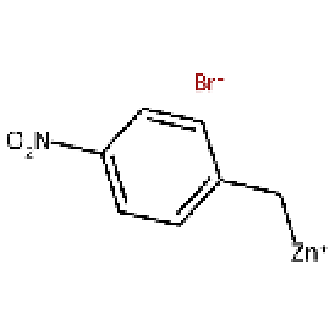 O=[N+]([O-])c1ccc([CH2][Zn+])cc1.[Br-]